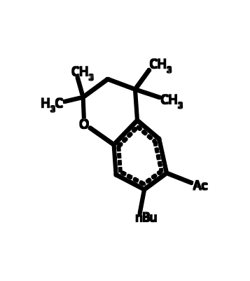 CCCCc1cc2c(cc1C(C)=O)C(C)(C)CC(C)(C)O2